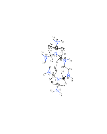 C=C[Si](C)(N(C)C)N([Si](C)(C)N(C)C)[Si](C)(C)N(C)CCN(C)[Si](C)(C)N([Si](C)(C)N(C)C)[Si](CC)(CC)N(C)C